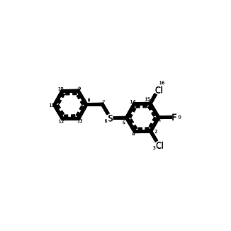 Fc1c(Cl)cc(SCc2ccccc2)cc1Cl